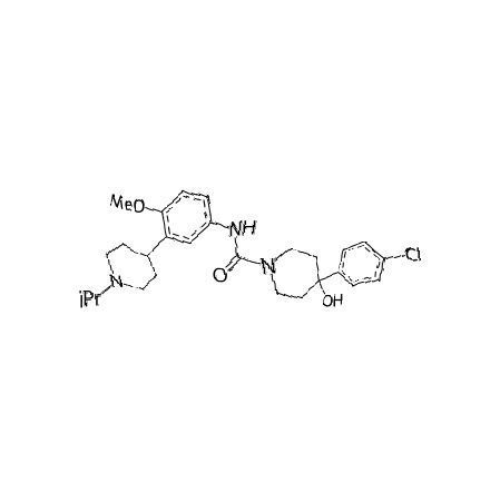 COc1ccc(NC(=O)N2CCC(O)(c3ccc(Cl)cc3)CC2)cc1C1CCN(C(C)C)CC1